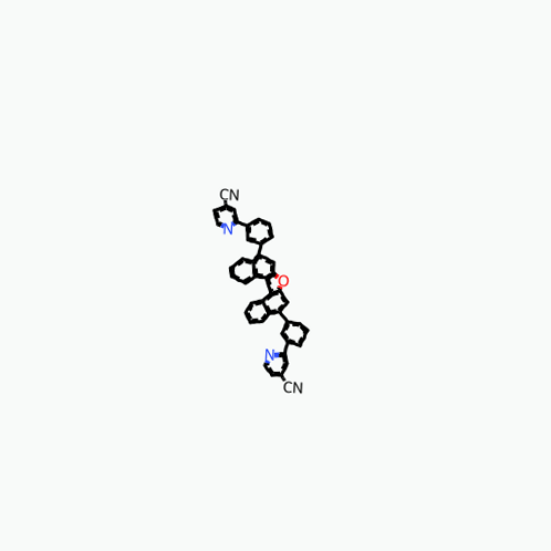 N#Cc1ccnc(-c2cccc(-c3cc4oc5cc(-c6cccc(-c7cc(C#N)ccn7)c6)c6ccccc6c5c4c4ccccc34)c2)c1